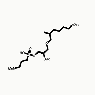 CCCCCCCCCCCCCCC(C)COCC(COP(=O)(O)CCCNC)OC(C)=O